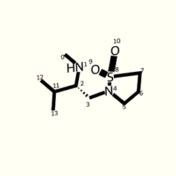 CN[C@H](CN1CCCS1(=O)=O)C(C)C